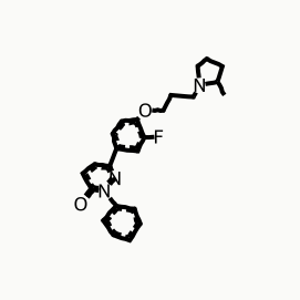 CC1CCCN1CCCOc1ccc(-c2ccc(=O)n(-c3ccccc3)n2)cc1F